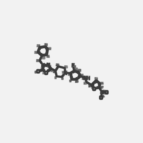 O=c1oc(C2CCN(c3ccc(NCc4ccc([N+](=O)[O-])o4)cc3F)CC2)nn1Cc1ccccc1